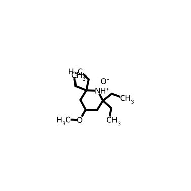 CCC1(CC)CC(OC)CC(CC)(CC)[NH+]1[O-]